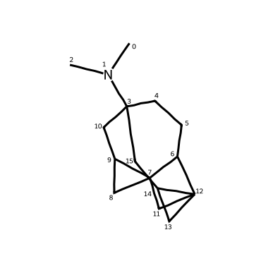 CN(C)C12CCC3C4(CC4C1)CC31CC1C2